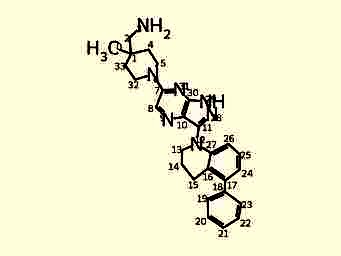 CC1(CN)CCN(c2cnc3c(N4CCCc5c(-c6ccccc6)cccc54)n[nH]c3n2)CC1